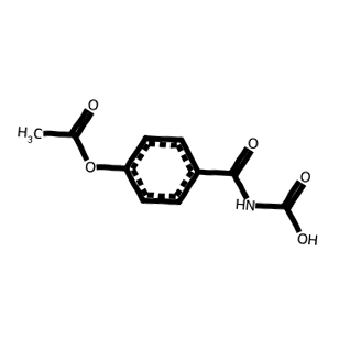 CC(=O)Oc1ccc(C(=O)NC(=O)O)cc1